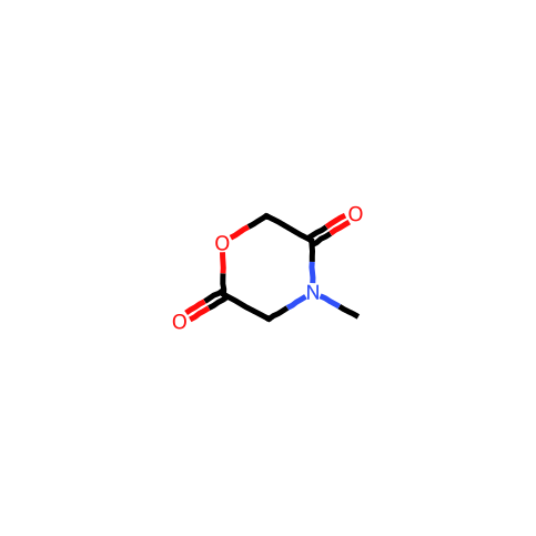 CN1CC(=O)OCC1=O